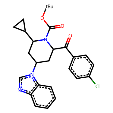 CC(C)(C)OC(=O)N1C(C(=O)c2ccc(Cl)cc2)CC(n2cnc3ccccc32)CC1C1CC1